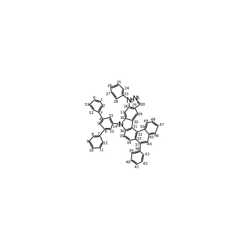 c1ccc(-c2cc(-c3ccccc3)cc(-n3c4cc5c(cnn5-c5ccccc5)cc4c4c5c(ccc43)c(-c3ccccc3)cc3ccccc35)c2)cc1